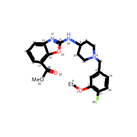 CCOc1cc(CN2CCC(Nc3nc4cccc(C(=O)OC)c4o3)CC2)ccc1F